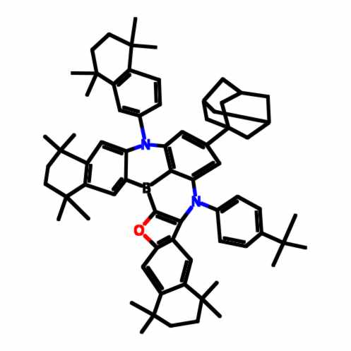 CC(C)(C)c1ccc(N2c3cc(C45CC6CC(CC(C6)C4)C5)cc4c3B(c3cc5c(cc3N4c3ccc4c(c3)C(C)(C)CCC4(C)C)C(C)(C)CCC5(C)C)c3oc4cc5c(cc4c32)C(C)(C)CCC5(C)C)cc1